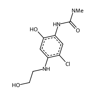 CNC(=O)Nc1cc(Cl)c(NCCO)cc1O